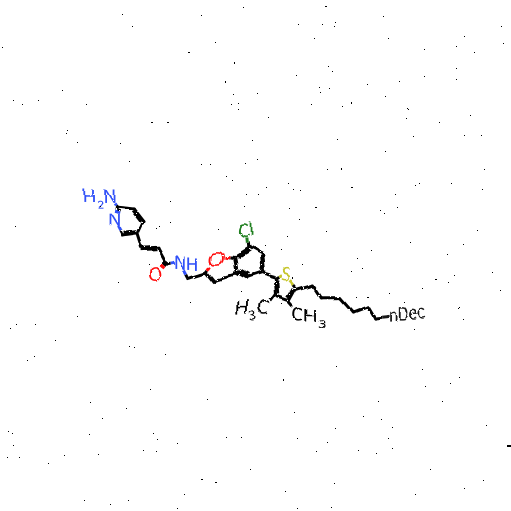 CCCCCCCCCCCCCCCCc1sc(-c2cc(Cl)c3c(c2)CC(CNC(=O)C=Cc2ccc(N)nc2)O3)c(C)c1C